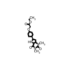 CCOC(=O)COc1ccc(-c2cc3c([nH]2)c(=O)n(C)c(=O)n3C)cc1